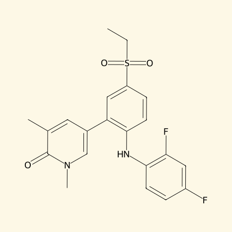 CCS(=O)(=O)c1ccc(Nc2ccc(F)cc2F)c(-c2cc(C)c(=O)n(C)c2)c1